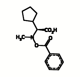 CN(OC(=O)c1ccccc1)[C@H](C(=O)O)C1CCCC1